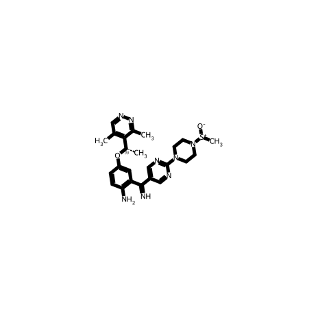 Cc1cnnc(C)c1[C@H](C)Oc1ccc(N)c(C(=N)c2cnc(N3CCN([S+](C)[O-])CC3)nc2)c1